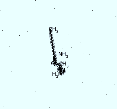 CCCCCCCCCCCCCCCCCCSCCCO[PH](=O)OCO[C@H](C)Cn1cnc2c(N)ncnc21.N